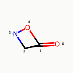 O=C1C[N]O1